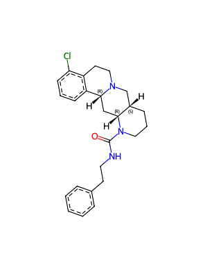 O=C(NCCc1ccccc1)N1CCC[C@H]2CN3CCc4c(Cl)cccc4[C@H]3C[C@H]21